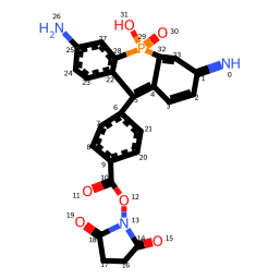 N=C1C=CC2=C(c3ccc(C(=O)ON4C(=O)CCC4=O)cc3)c3ccc(N)cc3P(=O)(O)C2=C1